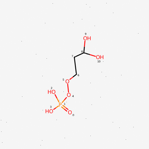 O=P(O)(O)OOCCC(O)O